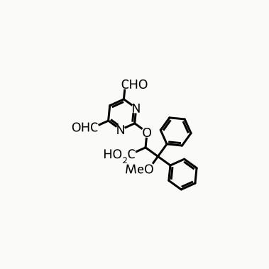 COC(c1ccccc1)(c1ccccc1)C(Oc1nc(C=O)cc(C=O)n1)C(=O)O